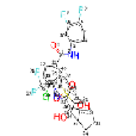 O=C(Nc1ccc(F)c(F)c1)c1ccc(Cl)c(S(=O)(=O)C2CC3CCC(C2)C3(O)C(O)c2cccc(C(F)F)n2)c1